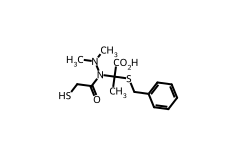 CN(C)N(C(=O)CS)C(C)(SCc1ccccc1)C(=O)O